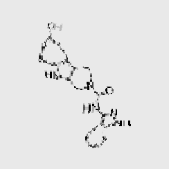 O=C(Nc1n[nH]c2ccccc12)N1CCc2c([nH]c3ccc(O)cc23)C1